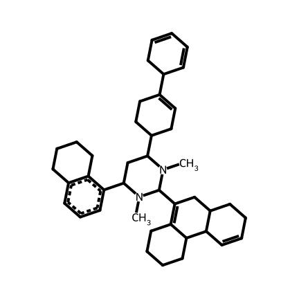 CN1C(c2cccc3c2CCCC3)CC(C2CC=C(C3C=CC=CC3)CC2)N(C)C1C1=C2CCCCC2C2C=CCCC2C1